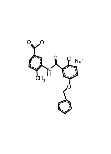 Cc1ccc(C(=O)[O-])cc1NC(=O)c1cc(OCc2ccccc2)ccc1Cl.[Na+]